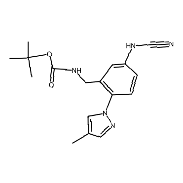 Cc1cnn(-c2ccc(NC#N)cc2CNC(=O)OC(C)(C)C)c1